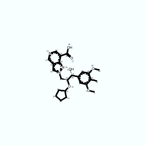 COc1cc([C@@H](O)[C@H](Cn2cc3cncc(C(=O)O)c3n2)OC2CCCC2)cc(OC)c1C